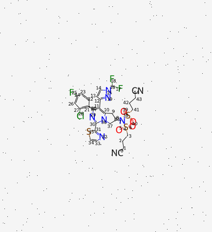 N#CCCCS(=O)(=O)N([C@H]1CC2=C(c3ccn(C(F)F)n3)[C@H](c3ccc(F)cc3Cl)N=C(c3nccs3)N2C1)S(=O)(=O)CCCC#N